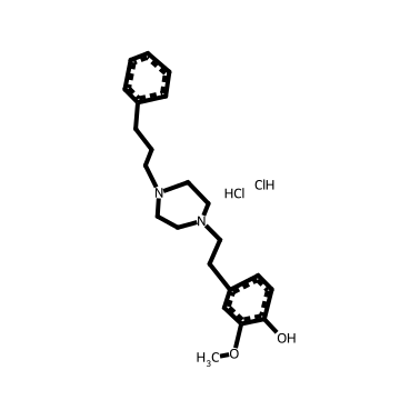 COc1cc(CCN2CCN(CCCc3ccccc3)CC2)ccc1O.Cl.Cl